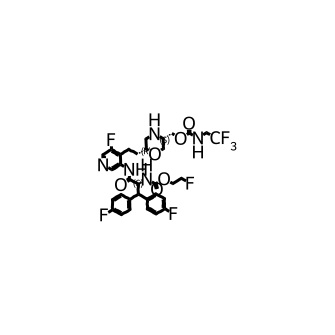 O=C(NCC(F)(F)F)OC[C@@H]1CO[C@H](CCc2c(F)cncc2NC(=O)[C@@H](NC(=O)OCCF)C(c2ccc(F)cc2)c2ccc(F)cc2)CN1